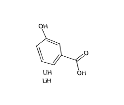 O=C(O)c1cccc(O)c1.[LiH].[LiH]